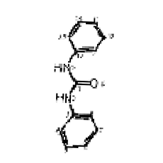 O=C(Nc1[c]cccc1)Nc1ccccc1